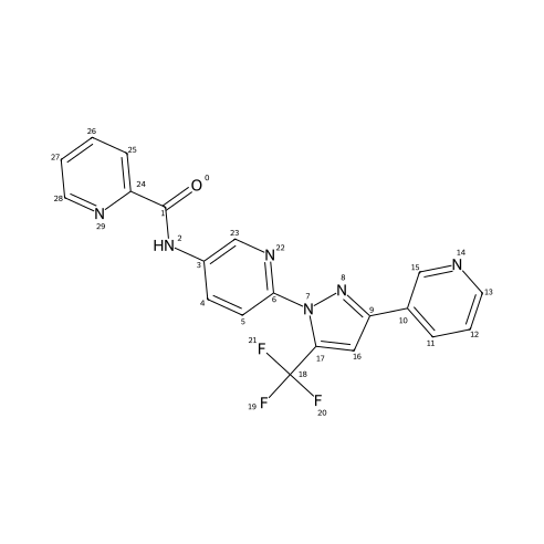 O=C(Nc1ccc(-n2nc(-c3cccnc3)cc2C(F)(F)F)nc1)c1ccccn1